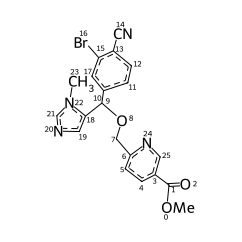 COC(=O)c1ccc(COC(c2ccc(C#N)c(Br)c2)c2cncn2C)nc1